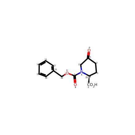 O=C1CC[C@@H](C(=O)O)N(C(=O)OCc2ccccc2)C1